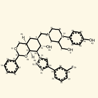 OCC1CN(C[C@@H]2C[C@@H]3COC(c4ccccc4)O[C@@H]3[C@H](n3cc(-c4cccc(F)c4)nn3)[C@H]2O)CCN1c1ccc(O)cc1